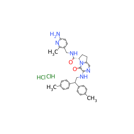 Cc1ccc(C(CNc2ncc3n(c2=O)[C@H](C(=O)NCc2ccc(N)nc2C)CC3)c2ccc(C)cc2)cc1.Cl.Cl